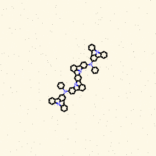 c1ccc(N(c2cc3c4ccccc4n4c5ccccc5c(c2)c34)c2ccc3c4cccc5c6cc7c(cc6n(c3c2)c45)c2cccc3c4ccc(N(c5ccccc5)c5cc6c8ccccc8n8c9ccccc9c(c5)c68)cc4n7c32)cc1